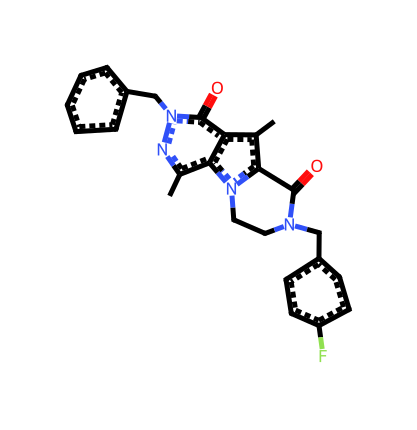 Cc1c2n(c3c(C)nn(Cc4ccccc4)c(=O)c13)CCN(Cc1ccc(F)cc1)C2=O